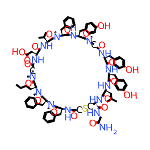 CCCC[C@H]1C(=O)N(C)CC(=O)N[C@@H](CC(=O)O)C(=O)N[C@@H](C(C)C)C(=O)N(C)[C@@H](Cc2ccccc2)C(=O)N[C@@H](Cc2ccc(O)cc2)C(=O)N(C)CC(=O)N[C@@H](Cc2ccc(O)cc2)C(=O)N[C@@H](Cc2ccc(O)cc2)C(=O)N[C@@H](CC(C)C)C(=O)N[C@H](C(=O)NCC(N)=O)CSCC(=O)N[C@@H](Cc2ccccc2)C(=O)N(C)[C@@H](Cc2ccccc2)C(=O)N1C